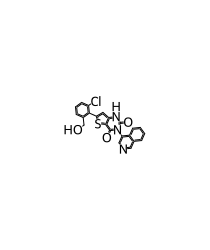 O=c1[nH]c2cc(-c3c(Cl)cccc3CO)sc2c(=O)n1-c1cncc2ccccc12